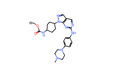 CN1CCN(c2ccc(Nc3ncc4cnn(C5CCC(NC(=O)OC(C)(C)C)CC5)c4n3)cc2)CC1